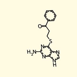 Nc1nc(SCCC(=O)c2ccccc2)c2nc[nH]c2n1